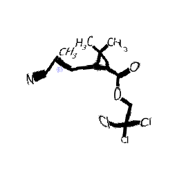 C/C(C#N)=C\C1C(C(=O)OCC(Cl)(Cl)Cl)C1(C)C